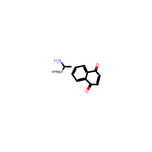 CCCCCCCC(C)N.O=C1C=CC(=O)c2ccccc21